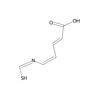 O=C(O)/C=C/C=C\N=C/S